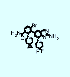 NC(=O)c1ccc(Br)c(-c2cc(N3CCC(F)(F)CC3)c3nc(N)ncc3c2)c1N1CCC2(CC1)CC2